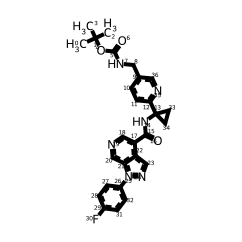 CC(C)(C)OC(=O)NCc1ccc(C2(NC(=O)c3cncc4c3cnn4-c3ccc(F)cc3)CC2)nc1